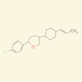 C/C=C/C1CCC(C2CCC(c3ccc(F)cc3)OC2)CC1